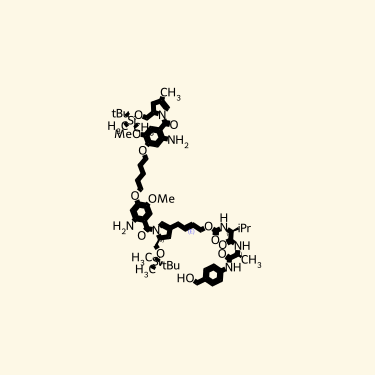 COc1cc(C(=O)N2C=C(C)CC2CO[Si](C)(C)C(C)(C)C)c(N)cc1OCCCCCOc1cc(N)c(C(=O)N2C=C(C/C=C/COC(=O)N[C@H](C(=O)N[C@@H](C)C(=O)Nc3ccc(CO)cc3)C(C)C)C[C@H]2CO[Si](C)(C)C(C)(C)C)cc1OC